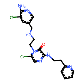 Nc1ncc(CNCCn2c(Cl)cnc(NCCc3ccccn3)c2=O)cc1Cl